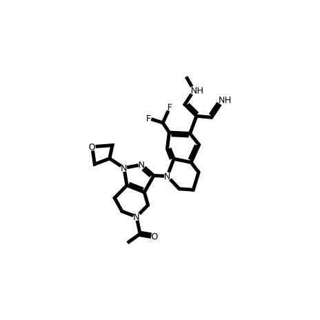 CN/C=C(\C=N)c1cc2c(cc1C(F)F)N(c1nn(C3COC3)c3c1CN(C(C)=O)CC3)CCC2